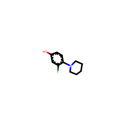 Oc1ccc(N2CCCCC2)c(F)c1